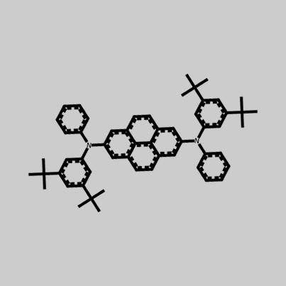 CC(C)(C)c1cc(N(c2ccccc2)c2cc3ccc4cc(N(c5ccccc5)c5cc(C(C)(C)C)cc(C(C)(C)C)c5)cc5ccc(c2)c3c45)cc(C(C)(C)C)c1